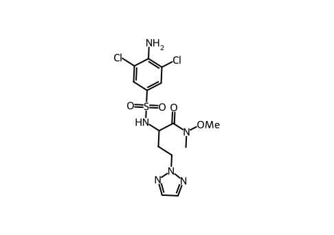 CON(C)C(=O)C(CCn1nccn1)NS(=O)(=O)c1cc(Cl)c(N)c(Cl)c1